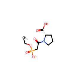 CCOP(=O)(O)CC(=O)N1CCC[C@H]1C(=O)O